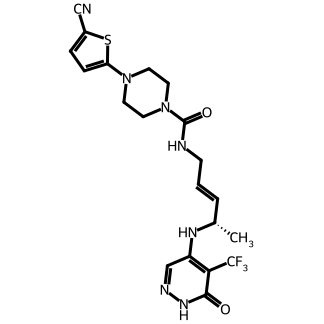 C[C@@H](/C=C/CNC(=O)N1CCN(c2ccc(C#N)s2)CC1)Nc1cn[nH]c(=O)c1C(F)(F)F